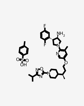 Cc1cc(OCC[C@@H](C)C2CCN(c3nc(C(C)C)no3)CC2)cnc1N1C[C@H](c2cc(F)ccc2F)[C@@H](N)C1.Cc1ccc(S(=O)(=O)O)cc1